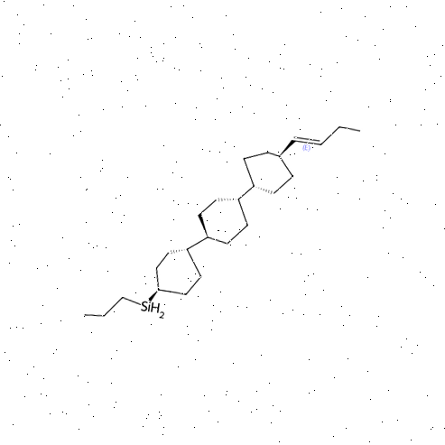 CC/C=C/[C@H]1CC[C@H]([C@H]2CC[C@H]([C@H]3CC[C@H]([SiH2]CCC)CC3)CC2)CC1